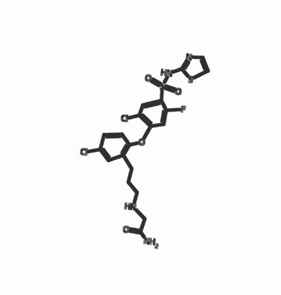 NC(=O)CNCCCc1cc(Cl)ccc1Oc1cc(F)c(S(=O)(=O)Nc2nccs2)cc1Cl